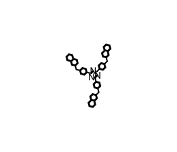 c1ccc2cc(Cc3ccc(-c4nc(-c5ccc(Cc6ccc7ccccc7c6)cc5)nc(-c5ccc(Cc6ccc7ccccc7c6)cc5)n4)cc3)ccc2c1